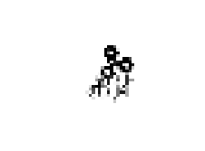 O=C(O)C=CC(=O)O.c1cc[c]([Sn]([c]2ccccc2)[c]2ccccc2)cc1